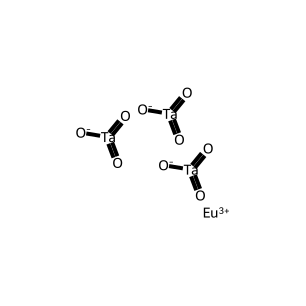 [Eu+3].[O]=[Ta](=[O])[O-].[O]=[Ta](=[O])[O-].[O]=[Ta](=[O])[O-]